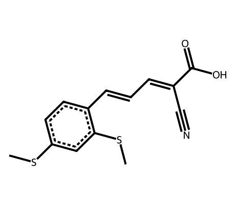 CSc1ccc(/C=C/C=C(\C#N)C(=O)O)c(SC)c1